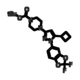 CC(C)(C)OC(=O)N1CCN(c2cc(C3CCC3)n(-c3ccc4c(c3)OC(F)(F)O4)n2)CC1